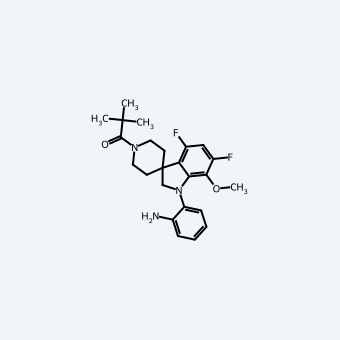 COc1c(F)cc(F)c2c1N(c1ccccc1N)CC21CCN(C(=O)C(C)(C)C)CC1